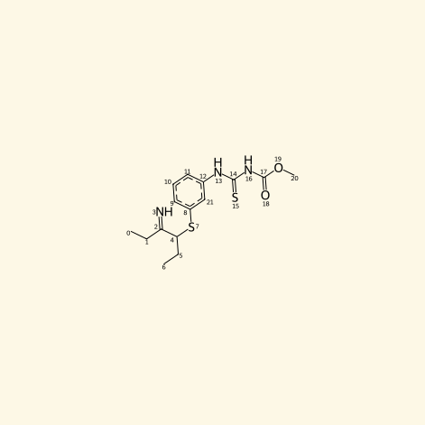 CCC(=N)C(CC)Sc1cccc(NC(=S)NC(=O)OC)c1